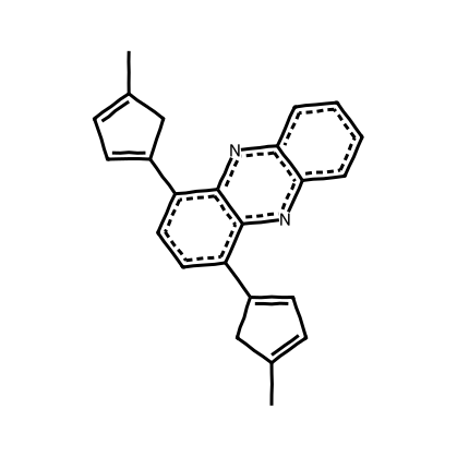 CC1=CC=C(c2ccc(C3=CC=C(C)C3)c3nc4ccccc4nc23)C1